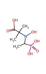 CC(N(O)C(C)(C)C(=O)O)P(=O)(O)O